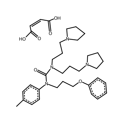 Cc1ccc(N(CCCOc2ccccc2)C(=O)N(CCCN2CCCC2)CCCN2CCCC2)cc1.O=C(O)/C=C\C(=O)O